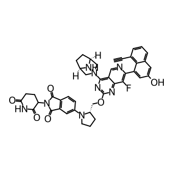 C#Cc1cccc2cc(O)cc(-c3ncc4c(N5C[C@H]6CC[C@@H](C5)N6)nc(OC[C@@H]5CCCN5c5ccc6c(c5)C(=O)N(C5CCC(=O)NC5=O)C6=O)nc4c3F)c12